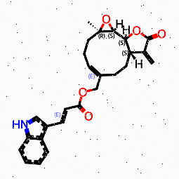 C=C1C(=O)O[C@H]2[C@H]1CC/C(COC(=O)/C=C/c1c[nH]c3ccccc13)=C\CC[C@@]1(C)O[C@@H]21